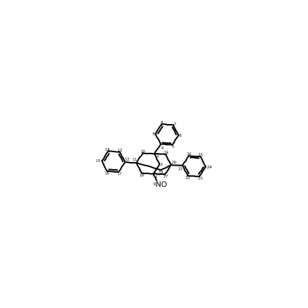 O=NC12CC3(c4ccccc4)CC(c4ccccc4)(C1)CC(c1ccccc1)(C2)C3